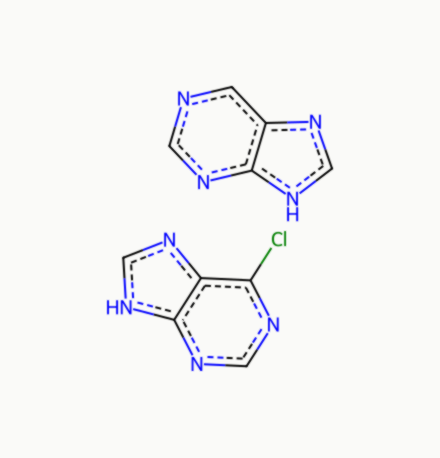 Clc1ncnc2[nH]cnc12.c1ncc2nc[nH]c2n1